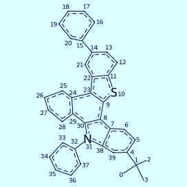 CC(C)(C)c1ccc2c3c4sc5ccc(-c6ccccc6)cc5c4c4ccccc4c3n(-c3ccccc3)c2c1